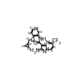 Nc1nn2ccc(C(F)(F)F)nc2c1C(=O)Nc1cnccc1OCC1CC1